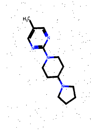 Cc1cnc(N2CCC(N3CCCC3)CC2)nc1